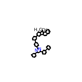 CC1(C)c2ccc(-c3cccc(-c4ccc(-c5nc(-c6ccccc6)cc(-c6cccc(-c7ccccc7)c6)n5)cc4)c3)cc2-c2ccc3ccccc3c21